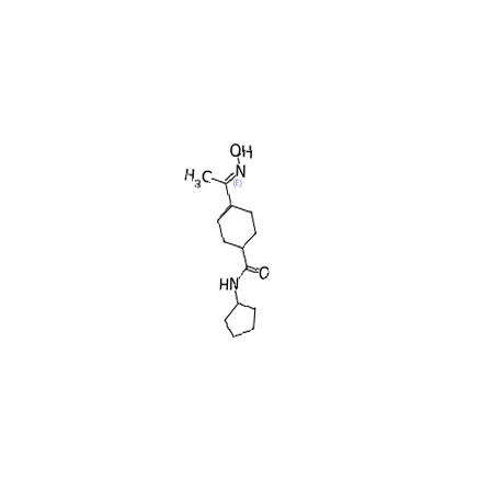 C/C(=N\O)C1CCC(C(=O)NC2CCCC2)CC1